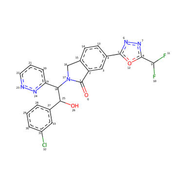 O=C1c2cc(-c3nnc(C(F)F)o3)ccc2CN1C(c1cccnn1)C(O)c1cccc(Cl)c1